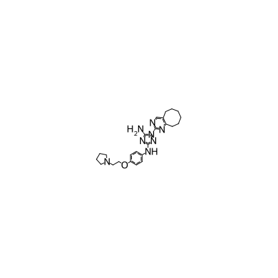 Nc1nc(Nc2ccc(OCCN3CCCC3)cc2)nn1-c1ncc2c(n1)CCCCCC2